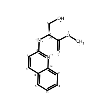 COC(=O)[C@H](CO)Nc1ccc2ccccc2n1